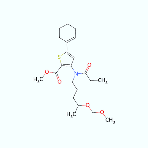 CCC(=O)N(CCCC(C)OCOC)c1cc(C2=CCCCC2)sc1C(=O)OC